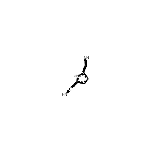 N=C=c1cnc(=C=N)[nH]1